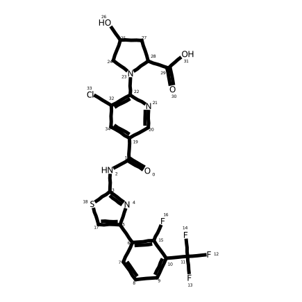 O=C(Nc1nc(-c2cccc(C(F)(F)F)c2F)cs1)c1cnc(N2CC(O)CC2C(=O)O)c(Cl)c1